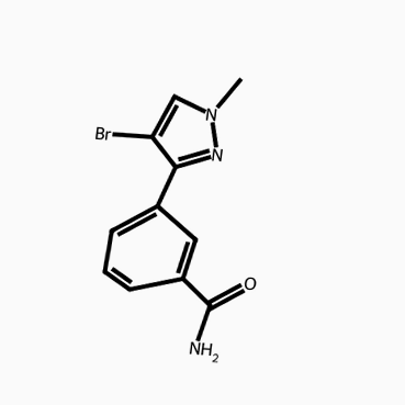 Cn1cc(Br)c(-c2cccc(C(N)=O)c2)n1